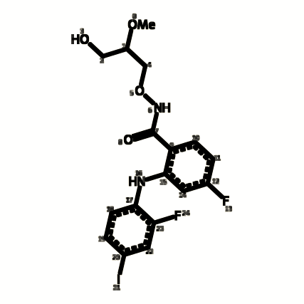 COC(CO)CONC(=O)c1ccc(F)cc1Nc1ccc(I)cc1F